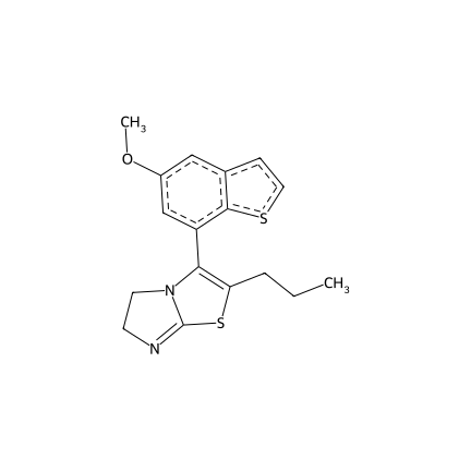 CCCC1=C(c2cc(OC)cc3ccsc23)N2CCN=C2S1